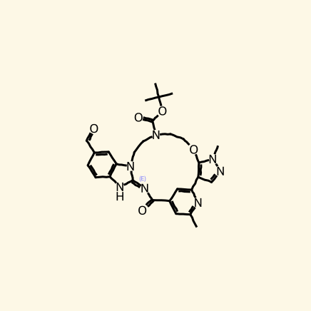 Cc1cc2cc(n1)-c1cnn(C)c1OCCN(C(=O)OC(C)(C)C)CCN1/C(=N/C2=O)Nc2ccc(C=O)cc21